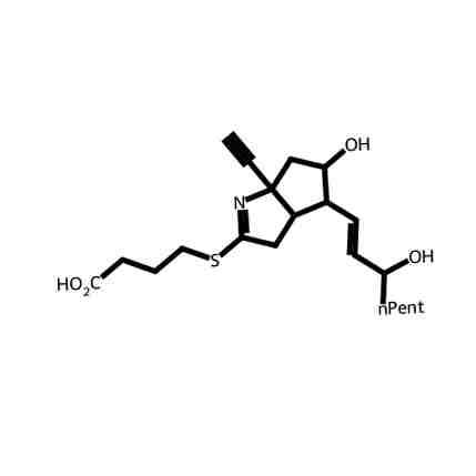 C#CC12CC(O)C(C=CC(O)CCCCC)C1CC(SCCCC(=O)O)=N2